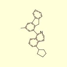 Cc1cc2c(c(-c3nccc4c(C5CCCC5)cccc34)c1)Cc1ccccc1-2